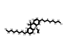 C=CN1c2cc(CCCCCCCC)ccc2C(C)(C)c2cc(CCCCCCCC)ccc21